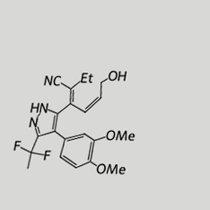 CC/C(C#N)=C(\C=C/CO)c1[nH]nc(C(C)(F)F)c1-c1ccc(OC)c(OC)c1